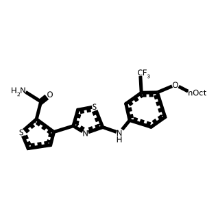 CCCCCCCCOc1ccc(Nc2nc(-c3ccsc3C(N)=O)cs2)cc1C(F)(F)F